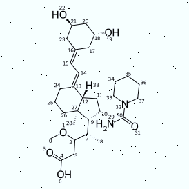 COC(CC(=O)O)[C@@H](C)[C@H]1CC[C@H]2C(=CC=C3C[C@@H](O)C[C@H](O)C3)CCC[C@]12C.NC(=O)N1CCCCC1